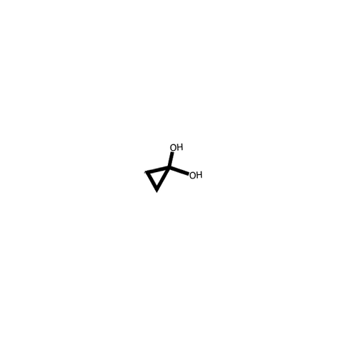 OC1(O)[CH]C1